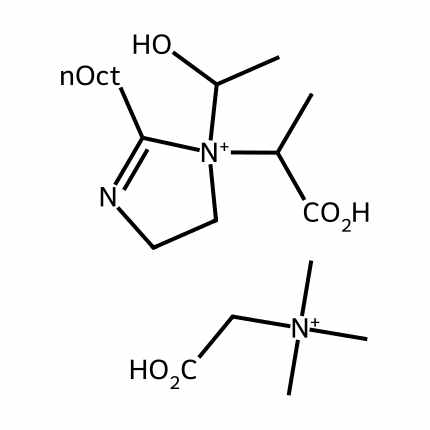 CCCCCCCCC1=NCC[N+]1(C(C)O)C(C)C(=O)O.C[N+](C)(C)CC(=O)O